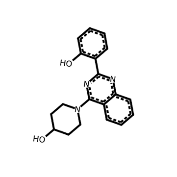 Oc1ccccc1-c1nc(N2CCC(O)CC2)c2ccccc2n1